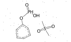 CS(C)(=O)=O.O=[PH](O)Oc1ccccc1